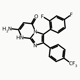 Nc1cc(=O)n2c(-c3ccc(F)cc3F)c(-c3ccc(C(F)(F)F)cc3)nc2[nH]1